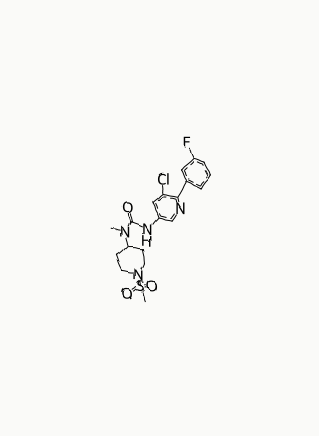 CN(C(=O)Nc1cnc(-c2cccc(F)c2)c(Cl)c1)C1CCN(S(C)(=O)=O)CC1